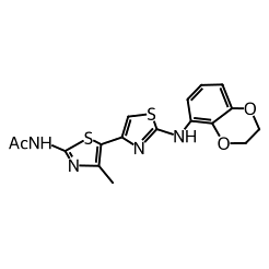 CC(=O)Nc1nc(C)c(-c2csc(Nc3cccc4c3OCCO4)n2)s1